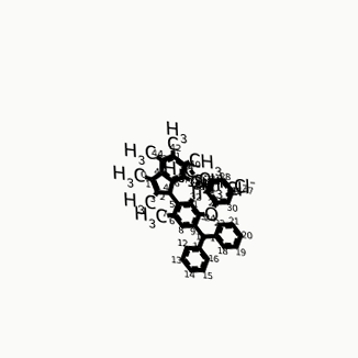 CC1=C(C)C(c2c(C)cc(C(c3ccccc3)c3ccccc3)c(Oc3ccccc3)[c]2[Ti+2][SiH](C)C)c2c(C)c(C)c(C)c(C)c21.[Cl-].[Cl-]